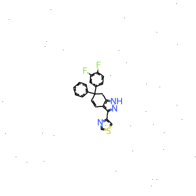 Fc1ccc(C2(c3ccccc3)C=Cc3c(-c4cscn4)n[nH]c3C2)cc1F